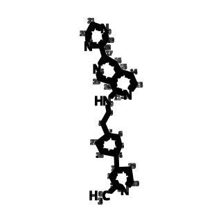 Cc1cc(-c2ccc(CCNc3nccc4cc(-c5cnccn5)ncc34)cc2)ccn1